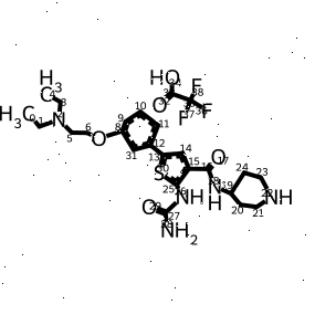 CCN(CC)CCOc1cccc(-c2cc(C(=O)NC3CCNCC3)c(NC(N)=O)s2)c1.O=C(O)C(F)(F)F